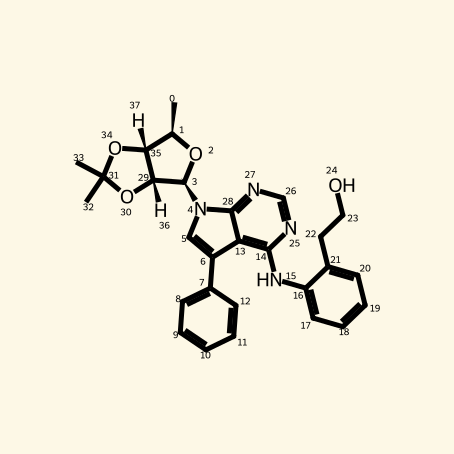 C[C@H]1O[C@@H](n2cc(-c3ccccc3)c3c(Nc4ccccc4CCO)ncnc32)[C@@H]2OC(C)(C)O[C@@H]21